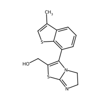 Cc1csc2c(C3=C(CO)SC4=NCCN43)cccc12